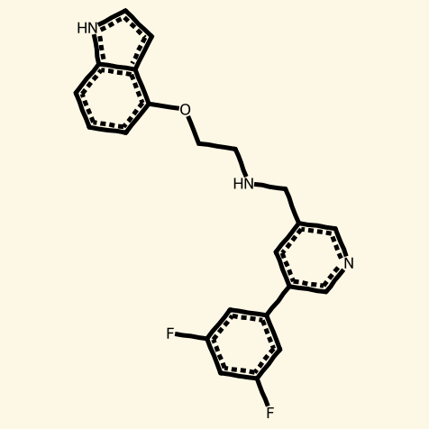 Fc1cc(F)cc(-c2cncc(CNCCOc3cccc4[nH]ccc34)c2)c1